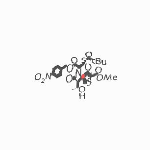 COC(=O)c1sccc1OC(SC(=O)C(C)(C)C)=C(C(=O)OCc1ccc([N+](=O)[O-])cc1)N1C(=O)[C@H]([C@@H](C)O)[C@@H]1Cl